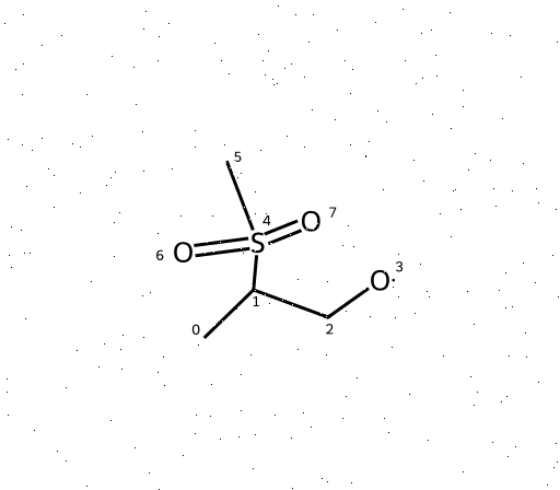 CC(C[O])S(C)(=O)=O